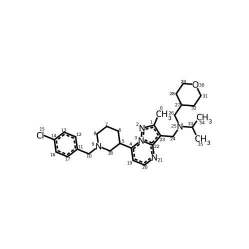 Cc1nn2c(C3CCCN(Cc4ccc(Cl)cc4)C3)ccnc2c1CN(CC1CCOCC1)C(C)C